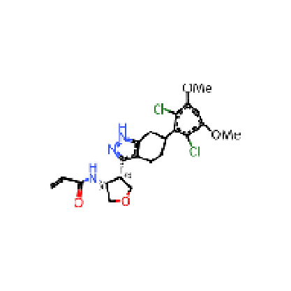 C=CC(=O)N[C@H]1COC[C@H]1c1n[nH]c2c1CCC(c1c(Cl)c(OC)cc(OC)c1Cl)C2